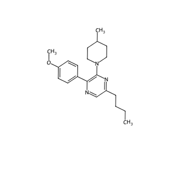 CCCCc1cnc(-c2ccc(OC)cc2)c(N2CCC(C)CC2)n1